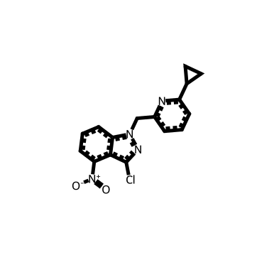 O=[N+]([O-])c1cccc2c1c(Cl)nn2Cc1cccc(C2CC2)n1